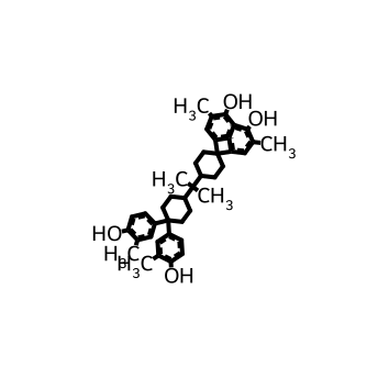 Cc1cc(C2(c3ccc(O)c(C)c3)CCC(C(C)(C)C3CCC4(CC3)c3cc(C)c(O)c5c(O)c(C)cc4c35)CC2)ccc1O